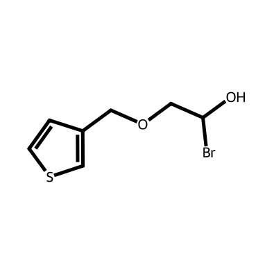 OC(Br)COCc1ccsc1